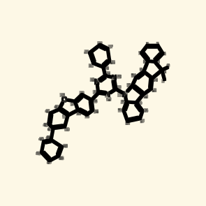 CC1(C)c2ccccc2-c2cc3c(cc21)c1ccccc1n3-c1nc(-c2ccccc2)nc(-c2ccc3c(c2)oc2ccc(-c4ccccc4)cc23)n1